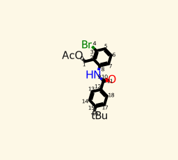 CC(=O)OCc1c(Br)cccc1NC(=O)c1ccc(C(C)(C)C)cc1